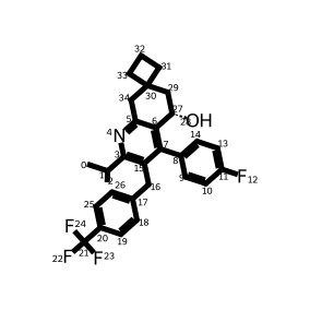 CC(C)c1nc2c(c(-c3ccc(F)cc3)c1Cc1ccc(C(F)(F)F)cc1)[C@@H](O)CC1(CCC1)C2